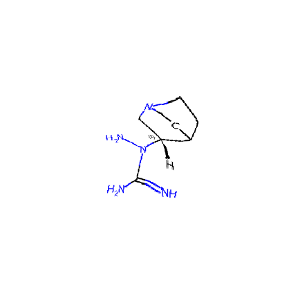 N=C(N)N(N)[C@@H]1CN2CCC1CC2